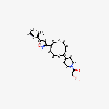 BCC(=O)N1CCC(C2CCCCCC(C3=NOC(C(=C)/C=C\C)C3)CCC2)CC1